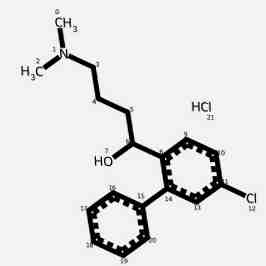 CN(C)CCCC(O)c1ccc(Cl)cc1-c1ccccc1.Cl